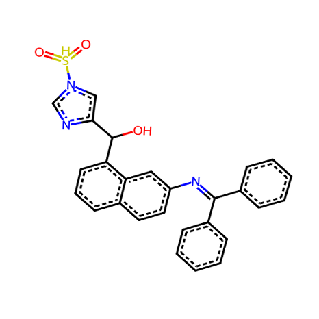 O=[SH](=O)n1cnc(C(O)c2cccc3ccc(N=C(c4ccccc4)c4ccccc4)cc23)c1